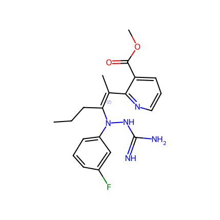 CCC/C(=C(\C)c1ncccc1C(=O)OC)N(NC(=N)N)c1cccc(F)c1